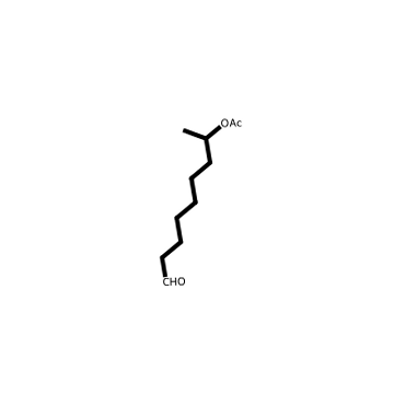 CC(=O)OC(C)CCCCCCC=O